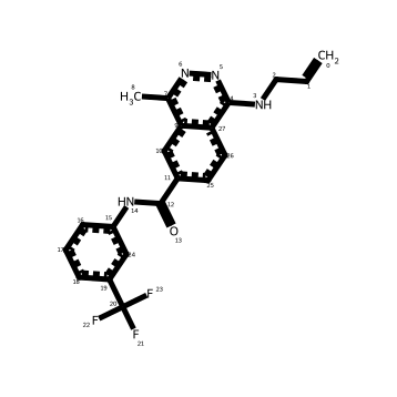 C=CCNc1nnc(C)c2cc(C(=O)Nc3cccc(C(F)(F)F)c3)ccc12